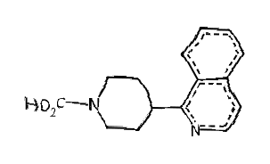 O=C(O)N1CCC(c2nccc3ccccc23)CC1